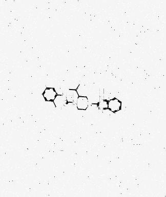 Cc1ccccc1NC(=O)N1CCN(c2nc3ccccc3[nH]2)CC1C(C)C